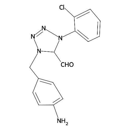 Nc1ccc(CN2N=NN(c3ccccc3Cl)C2C=O)cc1